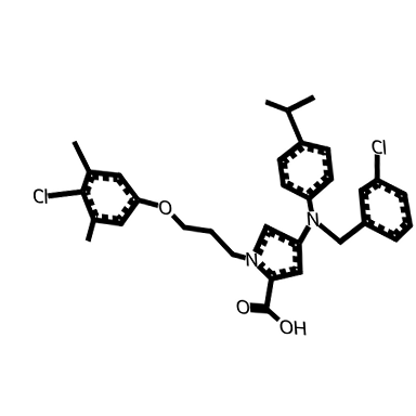 Cc1cc(OCCCn2cc(N(Cc3cccc(Cl)c3)c3ccc(C(C)C)cc3)cc2C(=O)O)cc(C)c1Cl